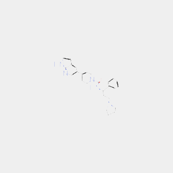 O=C(NC(CCN1CCCC1)c1ccccc1)N1CC=C(c2cnc3[nH]ccc3c2)CC1